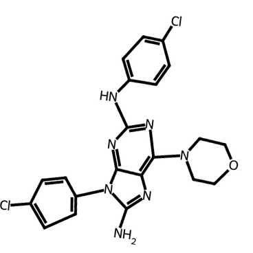 Nc1nc2c(N3CCOCC3)nc(Nc3ccc(Cl)cc3)nc2n1-c1ccc(Cl)cc1